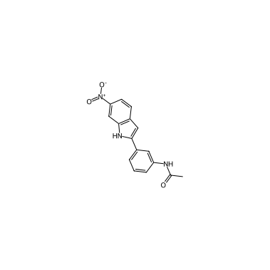 CC(=O)Nc1cccc(-c2cc3ccc([N+](=O)[O-])cc3[nH]2)c1